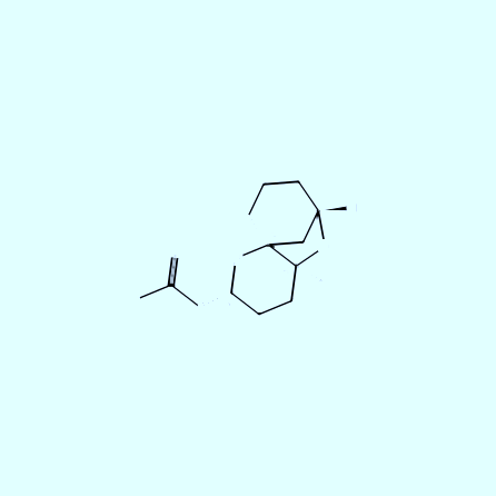 CC(=O)C[C@H]1CC[C@@H]2O[C@H]3CCC[C@@]2(C3)O1